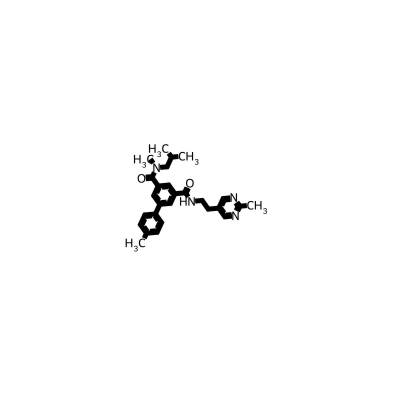 Cc1ccc(-c2cc(C(=O)NCCc3cnc(C)nc3)cc(C(=O)N(C)CC(C)C)c2)cc1